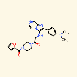 CN(C)c1ccc(-c2nc3cnccn3c2NCC(=O)N2CCN(C(=O)c3ccco3)CC2)cc1